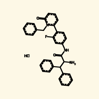 Cl.NC(C(=O)Nc1ccc(-c2cccc(=O)n2Cc2ccccc2)c(F)c1)C(c1ccccc1)c1ccccc1